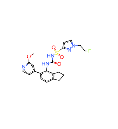 COc1cc(-c2ccc3c(c2NC(=O)NS(=O)(=O)c2ccn(CCF)n2)CCC3)ccn1